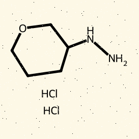 Cl.Cl.NNC1CCCOC1